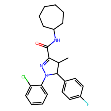 CC1C(C(=O)NC2CCCCCC2)=NN(c2ccccc2Cl)C1c1ccc(F)cc1